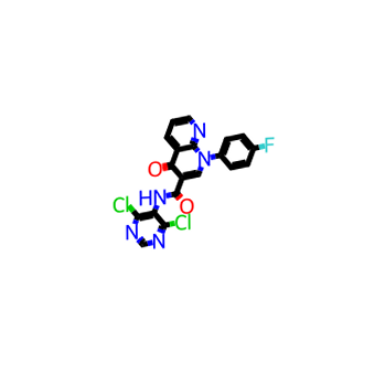 O=C(Nc1c(Cl)ncnc1Cl)c1cn(-c2ccc(F)cc2)c2ncccc2c1=O